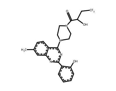 Cc1ccc2c(N3CCN(C(=O)C(O)CC(F)(F)F)CC3)nc(-c3ccccc3O)nc2c1